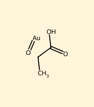 CCC(=O)O.[O]=[Au]